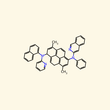 CC1=CC(N(c2ccccn2)c2cccc3ccccc23)C2=CCc3c(C)cc(N(c4ccccc4)c4cc5ccccc5cn4)c4ccc1c2c34